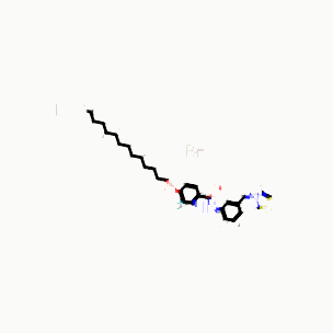 CCCCCCCCCCCCCCOc1ccc(C(=O)Nc2cccc(C[n+]3ccsc3)c2)cc1F.[Br-]